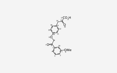 COc1cccc(C(=O)COc2ccc(CC(=O)C(=O)O)cc2)c1